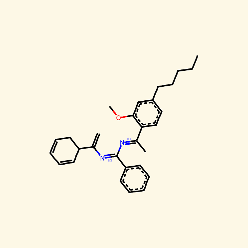 C=C(/N=C(\N=C(/C)c1ccc(CCCCC)cc1OC)c1ccccc1)C1C=CC=CC1